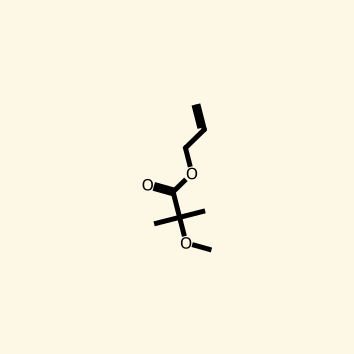 C=CCOC(=O)C(C)(C)OC